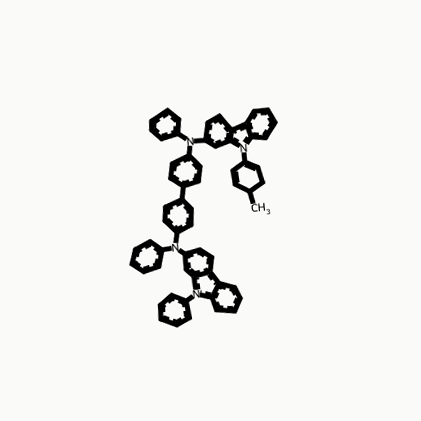 CC1C=CC(n2c3ccccc3c3ccc(N(c4ccccc4)c4ccc(-c5ccc(N(c6ccccc6)c6ccc7c8ccccc8n(-c8ccccc8)c7c6)cc5)cc4)cc32)=CC1